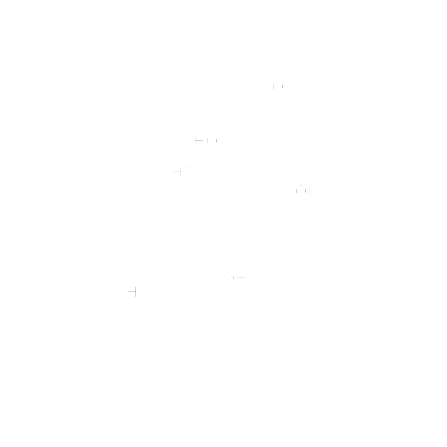 CC(C)(c1ccccc1)C(O)(C(O)CO)C(O)C(O)CO